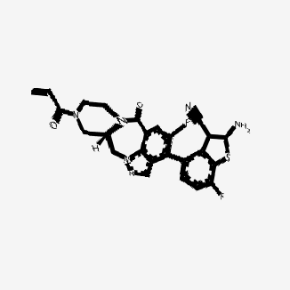 C=CC(=O)N1CCN2C(=O)c3cc(F)c(-c4ccc(F)c5c4C(C#N)C(N)S5)c4cnn(c34)C[C@@H]2C1